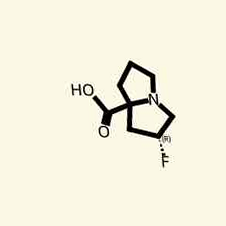 O=C(O)C12CCCN1C[C@H](F)C2